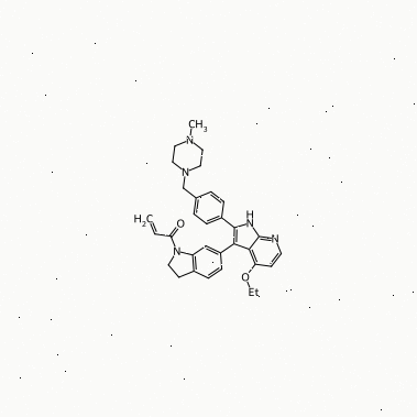 C=CC(=O)N1CCc2ccc(-c3c(-c4ccc(CN5CCN(C)CC5)cc4)[nH]c4nccc(OCC)c34)cc21